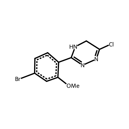 COc1cc(Br)ccc1C1=NN=C(Cl)CN1